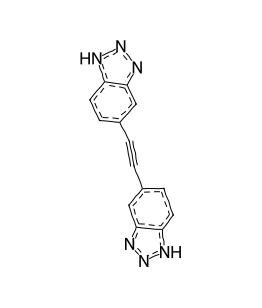 C(#Cc1ccc2[nH]nnc2c1)c1ccc2[nH]nnc2c1